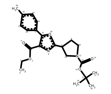 CCOC(=O)c1nc(C2CCN(C(=O)OC(C)(C)C)C2)oc1-c1ccc(C)cc1